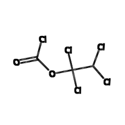 O=C(Cl)OC(Cl)(Cl)C(Cl)Cl